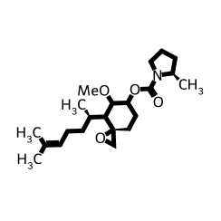 COC1C(OC(=O)N2CCC[C@H]2C)CC[C@]2(CO2)C1[C@H](C)CCC=C(C)C